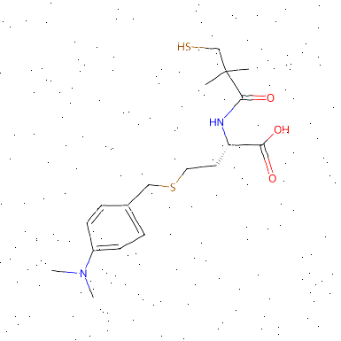 CN(C)c1ccc(CSCC[C@H](NC(=O)C(C)(C)CS)C(=O)O)cc1